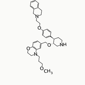 COCCCN1CCOc2ccc(CO[C@H]3CNCC[C@@H]3c3ccc(OCCN4CCc5ccccc5C4)cc3)cc21